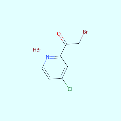 Br.O=C(CBr)c1cc(Cl)ccn1